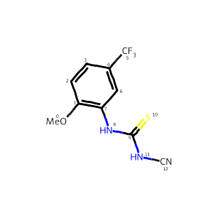 COc1ccc(C(F)(F)F)cc1NC(=S)NC#N